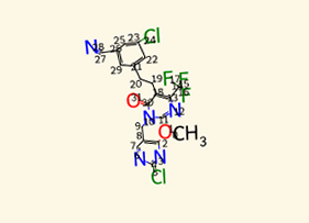 COc1nc(Cl)ncc1Cn1cnc(C(F)(F)F)c(CCc2cc(Cl)cc(C#N)c2)c1=O